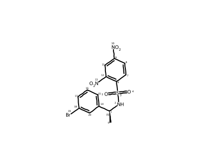 C[C@H](NS(=O)(=O)c1ccc([N+](=O)[O-])cc1[N+](=O)[O-])c1cccc(Br)c1